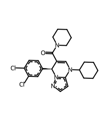 O=C(C1=CN(C2CCCCC2)c2ccnn2[C@H]1c1ccc(Cl)c(Cl)c1)N1CCCCC1